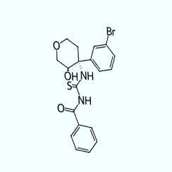 O=C(NC(=S)N[C@@]1(c2cccc(Br)c2)CCOC[C@@H]1O)c1ccccc1